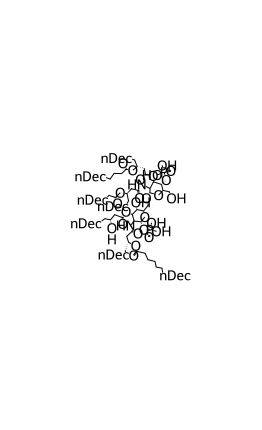 CCCCCCCCCCCCCCCC(=O)O[C@H](CCCCCCCCCCC)CC(=O)NC1[C@@H](OP(=O)(O)O)OC(CO[C@@H]2OC(CO)[C@@H](OP(=O)(O)O)[C@H](OC(=O)C[C@@H](CCCCCCCCCCC)OC(=O)CCCCCCCCCCCCC)C2NC(=O)C[C@@H](CCCCCCCCCCC)OC(=O)CCCCCCCCCCC)[C@@H](O)[C@@H]1OC(=O)C[C@H](O)CCCCCCCCCCC